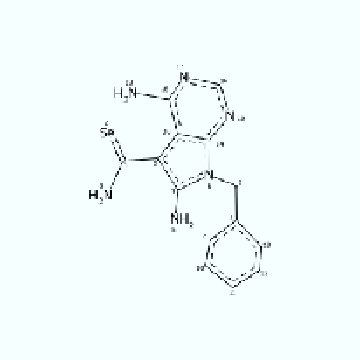 NC(=[Se])c1c(N)n(Cc2ccccc2)c2ncnc(N)c12